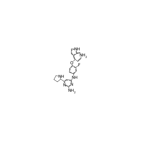 C=c1[nH]cc/c1=C(/C=C\N)Oc1ccc(Nc2cc(C3CCCN3)nc(N)n2)cc1F